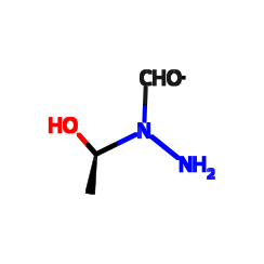 C[C@@H](O)N(N)[C]=O